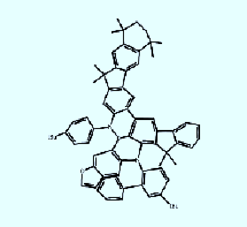 CC(C)(C)c1ccc(N2B3c4cc5occc5cc4N(c4ccc(C(C)(C)C)cc4-c4ccccc4)c4c3c(cc3c4C(C)(C)c4ccccc4-3)-c3cc4c(cc32)C(C)(C)c2cc3c(cc2-4)C(C)(C)CCC3(C)C)cc1